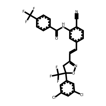 N#Cc1ccc(/C=C/C2=NOC(c3cc(Cl)cc(Cl)c3)(C(F)(F)F)C2)cc1NC(=O)c1ccc(C(F)(F)F)cc1